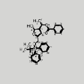 CC(OC(=O)c1ccccc1)C1C[C@@H](CO[Si](c2ccccc2)(c2ccccc2)C(C)(C)C)OC1O